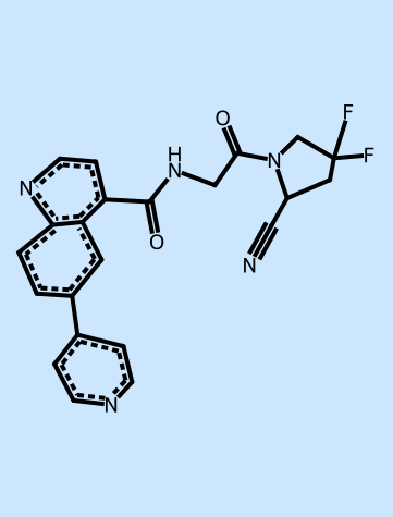 N#CC1CC(F)(F)CN1C(=O)CNC(=O)c1ccnc2ccc(-c3ccncc3)cc12